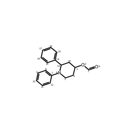 O=COC1CCN(c2ccccc2)C(c2ccccc2)C1